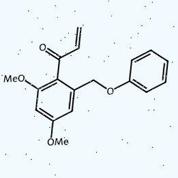 C=CC(=O)c1c(COc2ccccc2)cc(OC)cc1OC